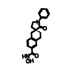 O=C(NO)c1ccc2c(c1)CC[C@@]1(CCN(c3ccccc3)C1=O)C2